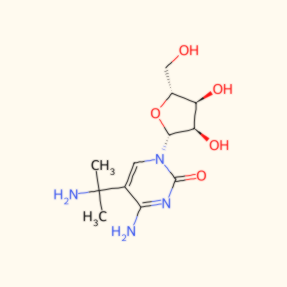 CC(C)(N)c1cn([C@@H]2O[C@H](CO)[C@@H](O)[C@H]2O)c(=O)nc1N